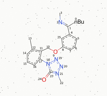 CCCCC(=NC)c1cccc(OCc2c(C)cccc2-n2nnn(C)c2=O)c1